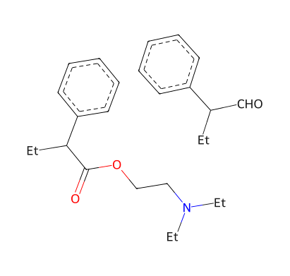 CCC(C(=O)OCCN(CC)CC)c1ccccc1.CCC(C=O)c1ccccc1